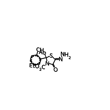 CCOC(=O)N1C(=O)C(=NN)SC1(C(C)=O)c1ccccc1C